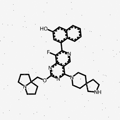 Oc1cc(-c2ncc3c(N4CCC5(CCNC5)CC4)nc(OCC45CCCN4CCC5)nc3c2F)c2ccccc2c1